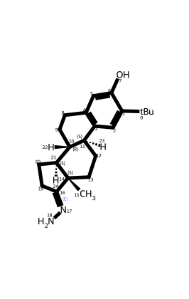 CC(C)(C)c1cc2c(cc1O)CC[C@@H]1[C@@H]2CC[C@]2(C)/C(=N/N)CC[C@@H]12